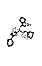 O=C(O)N(Cc1ccccc1)[C@H](Cc1c[nH]c2ccccc12)c1nc(-c2ccccc2)c[nH]1